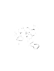 C[C@@H](O)[C@H](N)C(=O)N1[C@H](C(=O)N[C@@H](Cc2c[nH]c3ccccc23)C(=O)N[C@H](C(N)=O)[C@@H](C)O)C[C@@H]2C[C@@H]21